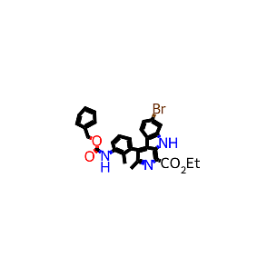 CCOC(=O)c1nc(C)c(-c2cccc(NC(=O)OCc3ccccc3)c2C)c2c1[nH]c1cc(Br)ccc12